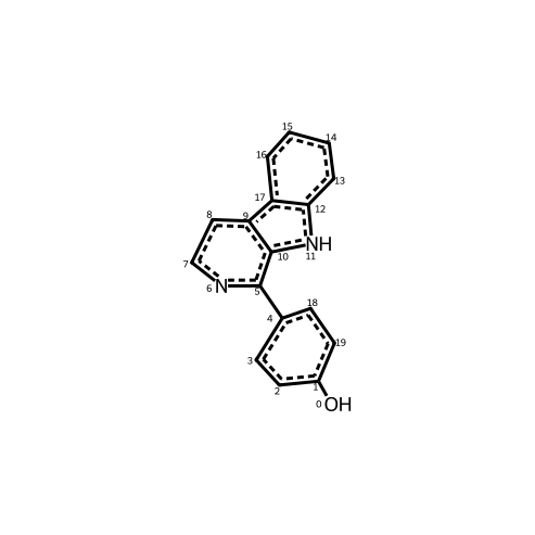 Oc1ccc(-c2nccc3c2[nH]c2ccccc23)cc1